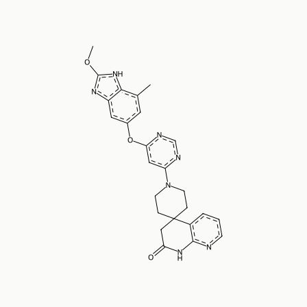 COc1nc2cc(Oc3cc(N4CCC5(CC4)CC(=O)Nc4ncccc45)ncn3)cc(C)c2[nH]1